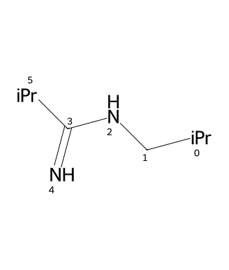 CC(C)CNC(=N)C(C)C